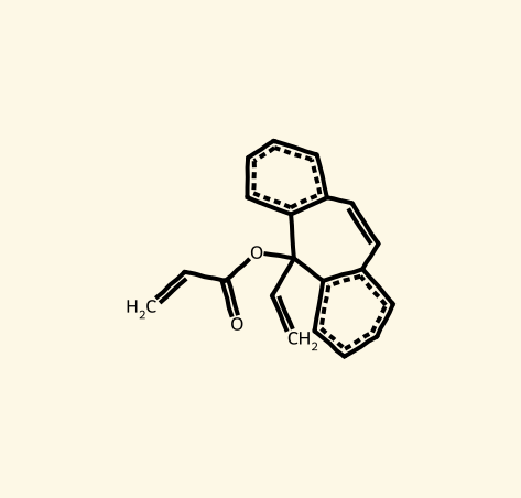 C=CC(=O)OC1(C=C)c2ccccc2C=Cc2ccccc21